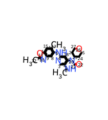 CNc1cnc(Nc2cc3nc(C)oc3cc2C)cc1N(C=O)C1CCOCC1